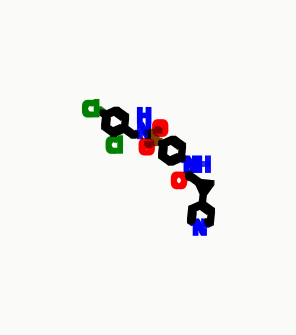 O=C(Nc1ccc(S(=O)(=O)NCc2ccc(Cl)cc2Cl)cc1)C1CC1c1ccncc1